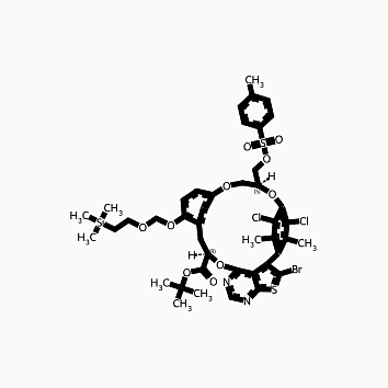 Cc1ccc(S(=O)(=O)OC[C@@H]2COc3ccc(OCOCC[Si](C)(C)C)c(c3)C[C@H](C(=O)OC(C)(C)C)Oc3ncnc4sc(Br)c(c34)-c3c(C)c(Cl)c(c(Cl)c3C)O2)cc1